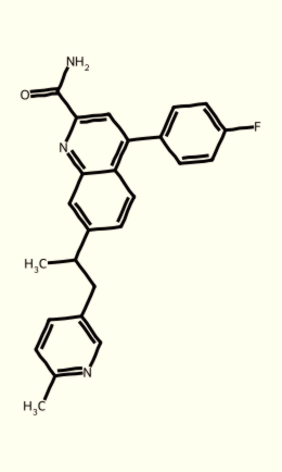 Cc1ccc(CC(C)c2ccc3c(-c4ccc(F)cc4)cc(C(N)=O)nc3c2)cn1